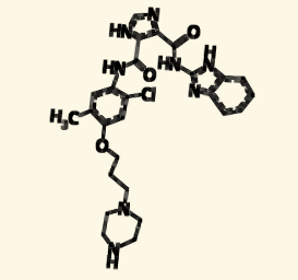 Cc1cc(NC(=O)c2[nH]cnc2C(=O)Nc2nc3ccccc3[nH]2)c(Cl)cc1OCCCN1CCNCC1